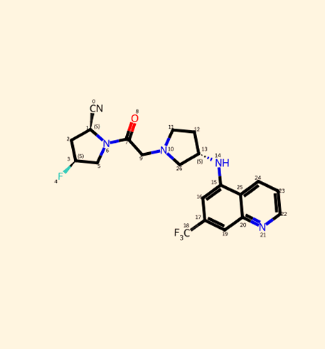 N#C[C@@H]1C[C@H](F)CN1C(=O)CN1CC[C@H](Nc2cc(C(F)(F)F)cc3ncccc23)C1